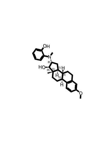 COc1ccc2c(c1)CC[C@@H]1[C@@H]2CC[C@]2(C)[C@@H](O)[C@H](N(C)c3ccccc3O)C[C@@H]12